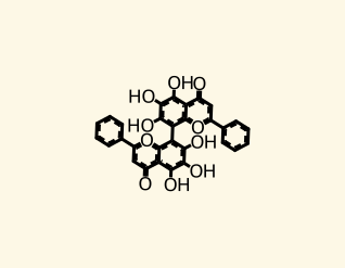 O=c1cc(-c2ccccc2)oc2c(-c3c(O)c(O)c(O)c4c(=O)cc(-c5ccccc5)oc34)c(O)c(O)c(O)c12